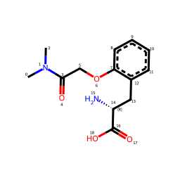 CN(C)C(=O)COc1ccccc1C[C@@H](N)C(=O)O